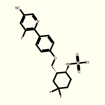 CCS(=O)(=O)N[C@H]1CCC(F)(F)C[C@@H]1COc1ccc(-c2ncc(C#N)cc2F)cc1